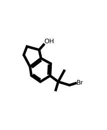 CC(C)(CBr)c1ccc2c(c1)C(O)CC2